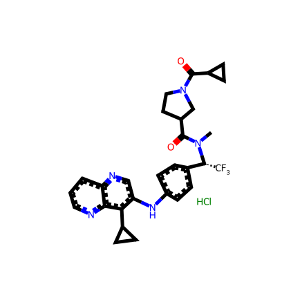 CN(C(=O)C1CCN(C(=O)C2CC2)C1)[C@@H](c1ccc(Nc2cnc3cccnc3c2C2CC2)cc1)C(F)(F)F.Cl